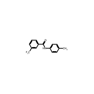 Cc1c[c]c(NC(=O)c2cccc(C(F)(F)F)c2)cc1